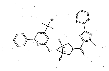 Cc1nc(-c2ncccn2)sc1C(=O)N1C[C@@H]2C(Oc3cc(C(C)(C)N)cc(-c4ccccc4)n3)[C@@H]2C1